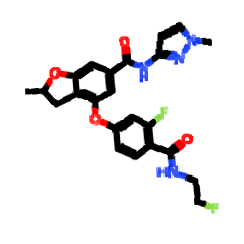 CC1Cc2c(Oc3ccc(C(=O)NCCF)c(F)c3)cc(C(=O)Nc3ccn(C)n3)cc2O1